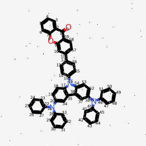 O=c1c2ccccc2oc2cc(-c3ccc(-n4c5ccc(N(c6ccccc6)c6ccccc6)cc5c5cc(N(c6ccccc6)c6ccccc6)ccc54)cc3)ccc12